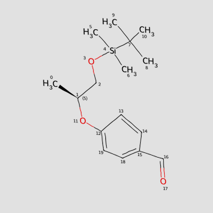 C[C@@H](CO[Si](C)(C)C(C)(C)C)Oc1ccc(C=O)cc1